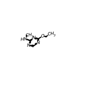 CCOc1n[c]nc(NC)n1